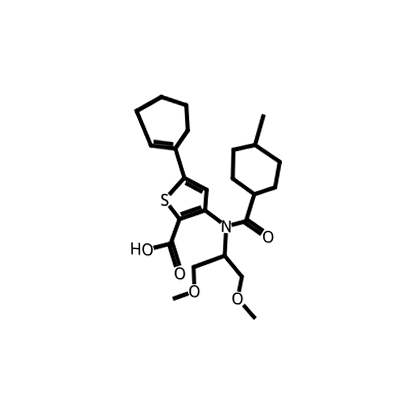 COCC(COC)N(C(=O)C1CCC(C)CC1)c1cc(C2=CCCCC2)sc1C(=O)O